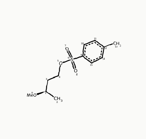 CO[C@H](C)CCOS(=O)(=O)c1ccc(C)cc1